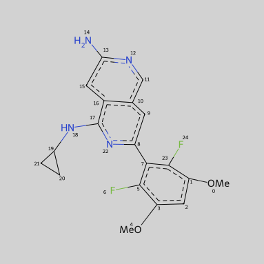 COc1cc(OC)c(F)c(-c2cc3cnc(N)cc3c(NC3CC3)n2)c1F